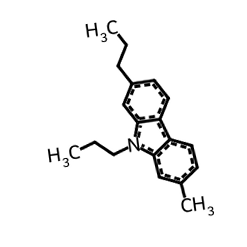 CCCc1ccc2c3ccc(C)cc3n(CCC)c2c1